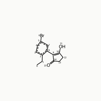 CCc1ccc(Br)cc1C1=C(O)CCC1=O